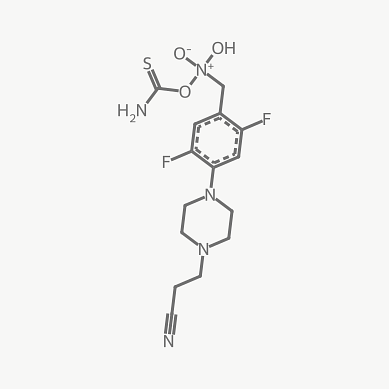 N#CCCN1CCN(c2cc(F)c(C[N+]([O-])(O)OC(N)=S)cc2F)CC1